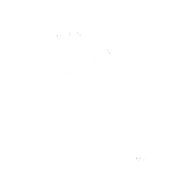 C/C=C(OC)\C(OCOC(=O)COCCOC)=C(/N)C(N)=O